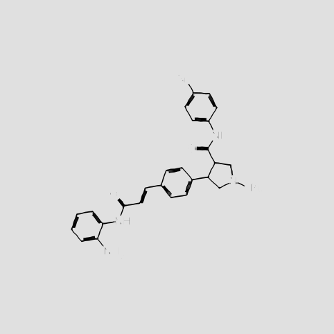 CC(C)(C)N1CC(C(=O)Nc2ccc(Br)cc2)C(c2ccc(/C=C/C(=O)Nc3ccccc3N)cc2)C1